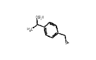 CC(C(=O)O)c1ccc(CS)cc1